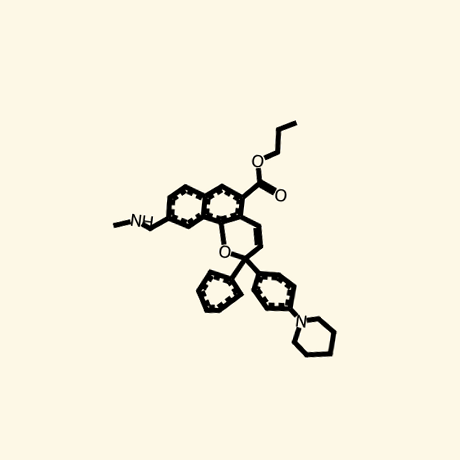 CCCOC(=O)c1cc2ccc(CNC)cc2c2c1C=CC(c1ccccc1)(c1ccc(N3CCCCC3)cc1)O2